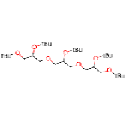 CC(C)(C)OCC(COCC(COCC(COC(C)(C)C)OC(C)(C)C)OC(C)(C)C)OC(C)(C)C